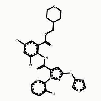 O=C(NCC1CCOCC1)c1cc(Cl)cc(Br)c1NC(=O)c1cc(Oc2ccsc2)nn1-c1ncccc1Cl